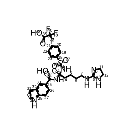 O=C(N[C@@](CCCCNC1=NCCN1)(NS(=O)(=O)c1ccccc1)C(=O)O)c1ccc2[nH]ncc2c1.O=C(O)C(F)(F)F